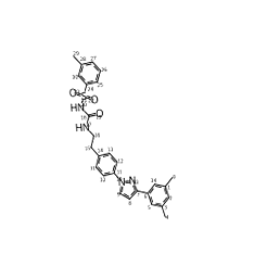 Cc1cc(C)cc(-c2ccn(-c3ccc(CCNC(=O)NS(=O)(=O)c4cccc(C)c4)cc3)n2)c1